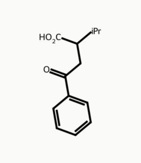 CC(C)C(CC(=O)c1ccccc1)C(=O)O